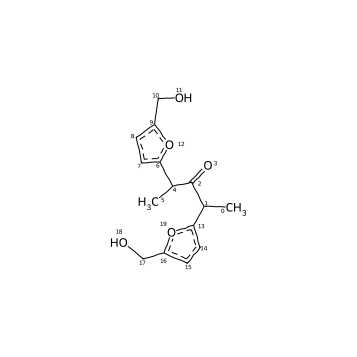 CC(C(=O)C(C)c1ccc(CO)o1)c1ccc(CO)o1